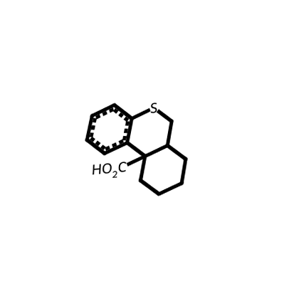 O=C(O)C12CCCCC1CSc1ccccc12